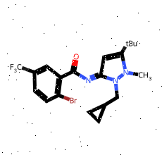 Cn1c(C(C)(C)C)c/c(=N\C(=O)c2cc(C(F)(F)F)ccc2Br)n1CC1CC1